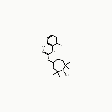 CC1(C)CCC(N/C(=N/C#N)Nc2ccccc2Cl)CC(C)(C)N1O